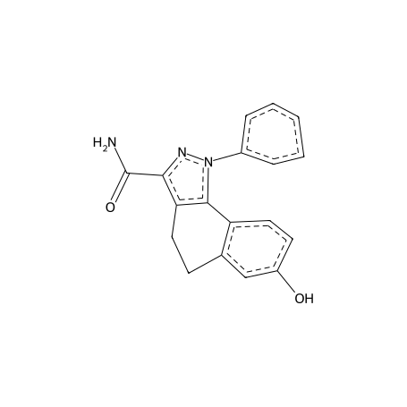 NC(=O)c1nn(-c2ccccc2)c2c1CCc1cc(O)ccc1-2